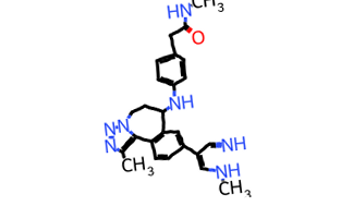 CN/C=C(\C=N)c1ccc2c(c1)C(Nc1ccc(CC(=O)NC)cc1)CCn1nnc(C)c1-2